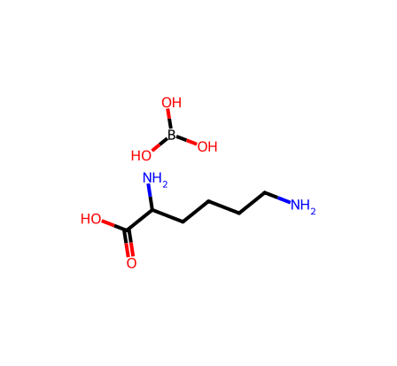 NCCCCC(N)C(=O)O.OB(O)O